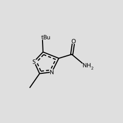 Cc1nc(C(N)=O)c(C(C)(C)C)s1